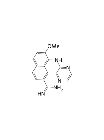 COc1ccc2ccc(C(=N)N)cc2c1Nc1cnccn1